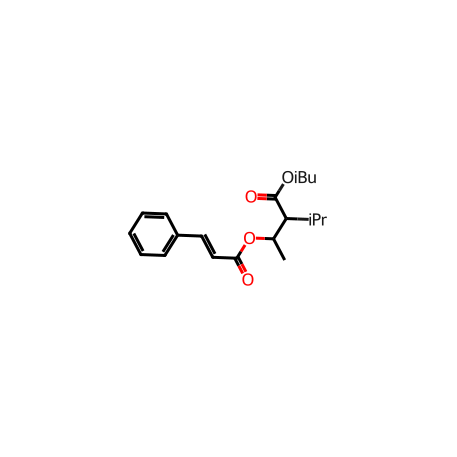 CC(C)COC(=O)C(C(C)C)C(C)OC(=O)C=Cc1ccccc1